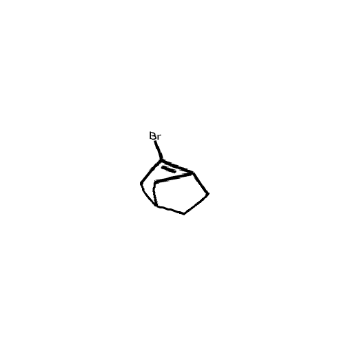 BrC1=C2CCC(C1)C2